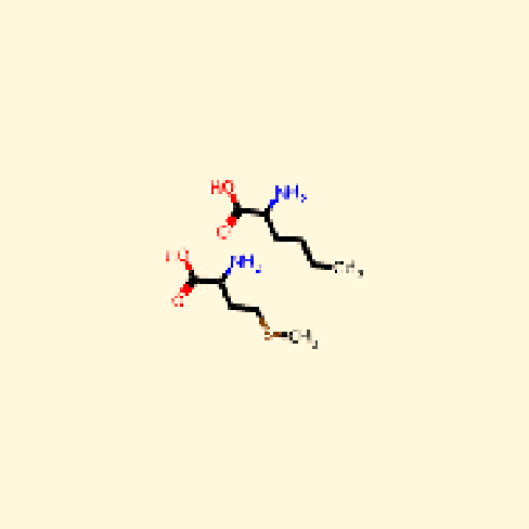 CCCCC(N)C(=O)O.CSCCC(N)C(=O)O